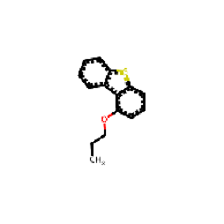 CCCOc1cccc2sc3ccccc3c12